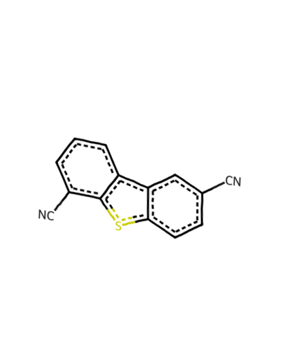 N#Cc1ccc2sc3c(C#N)cccc3c2c1